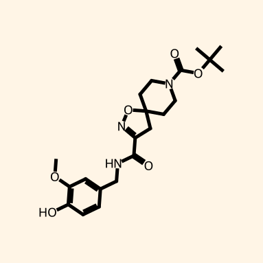 COc1cc(CNC(=O)C2=NOC3(CCN(C(=O)OC(C)(C)C)CC3)C2)ccc1O